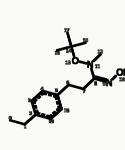 CCc1ccc(CC/C(=N/O)N(C)OC(C)(C)C)cc1